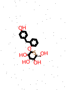 OC[C@H]1S[C@@H](Oc2ccccc2Cc2ccc(O)cc2)[C@H](O)[C@@H](O)[C@@H]1O